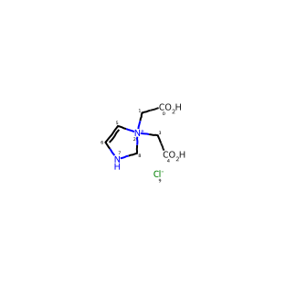 O=C(O)C[N+]1(CC(=O)O)C=CNC1.[Cl-]